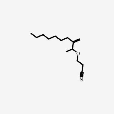 C=C(CCCCCCC)C(C)OCCC#N